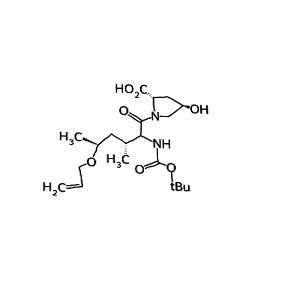 C=CCO[C@@H](C)C[C@@H](C)C(NC(=O)OC(C)(C)C)C(=O)N1C[C@H](O)C[C@H]1C(=O)O